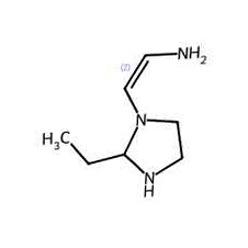 CCC1NCCN1/C=C\N